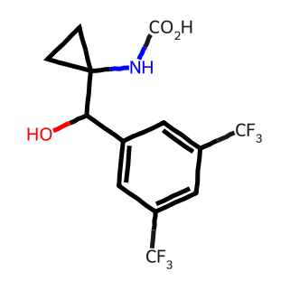 O=C(O)NC1(C(O)c2cc(C(F)(F)F)cc(C(F)(F)F)c2)CC1